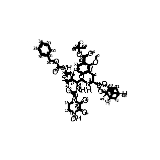 COc1c(CC(NC(=O)C(NC(=O)N2CCN(O)C(=O)C2=O)c2csc(NC(=O)OCc3ccccc3)n2)B2OC3C[C@H]4C[C@@H](C4(C)C)[C@]3(C)O2)cccc1C(=O)OC(C)(C)C